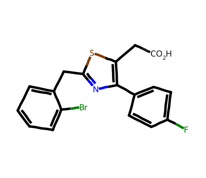 O=C(O)Cc1sc(Cc2ccccc2Br)nc1-c1ccc(F)cc1